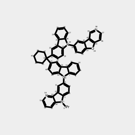 CC(C)n1c2ccc(-n3c4ccccc4c4cc(C5(c6ccc7c(c6)c6ccccc6n7-c6ccc7oc8ccncc8c7c6)CCCCC5)ccc43)cc2c2ncccc21